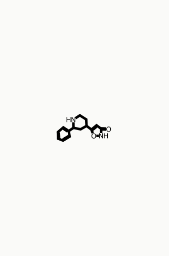 O=c1cc(C2CCNC(c3ccccc3)C2)o[nH]1